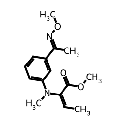 CC=C(C(=O)OC)N(C)c1cccc(C(C)=NOC)c1